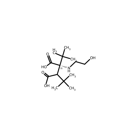 CC(C)(C)C(C(=O)O)[C@@](NCCO)(C(=O)O)C(C)(C)C